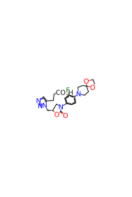 O=C(O)CCc1cnnn1C[C@H]1CN(c2ccc(N3CCC4(CC3)OCCO4)c(F)c2)C(=O)O1